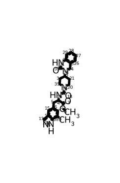 COC(=O)C(Cc1cc(C)c2[nH]ncc2c1)NC(=O)N1CCC(N2Cc3ccccc3NC2=O)CC1